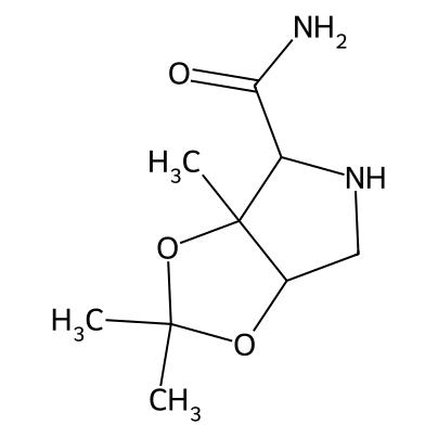 CC1(C)OC2CNC(C(N)=O)C2(C)O1